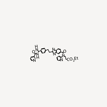 CCOC(=O)CCN(C(=O)c1ccc2c(c1)nc(CCc1ccc(C(=N)NC(=O)c3cccnc3)cc1)n2C)c1ccccn1